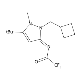 Cn1c(C(C)(C)C)c/c(=N\C(=O)C(F)(F)F)n1CC1CCC1